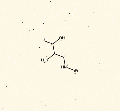 CC(C)NCC(N)C(C)O